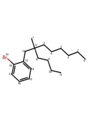 CCCCCCC(C)(CCCC)Cc1ccccc1Br